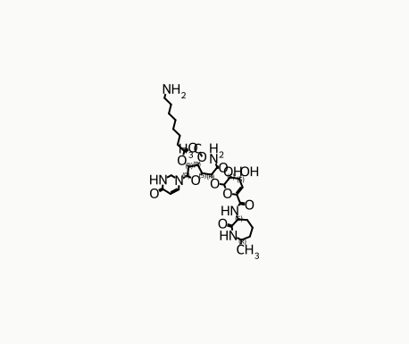 CO[C@H]1[C@@H](OC(=O)CCCCCCCN)[C@H](N2C=CC(=O)NC2)O[C@@H]1[C@@H](OC1OC(C(=O)N[C@H]2CCC[C@@H](C)NC2=O)=C[C@H](O)[C@@H]1O)C(N)=O